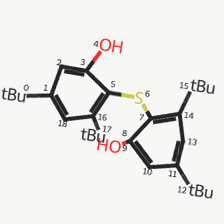 CC(C)(C)c1cc(O)c(Sc2c(O)cc(C(C)(C)C)cc2C(C)(C)C)c(C(C)(C)C)c1